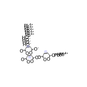 O=C([O-])/C=C\C(=O)[O-].O=C([O-])/C=C\C(=O)[O-].O=C([O-])/C=C\C(=O)[O-].[OH-].[OH-].[OH-].[OH-].[Pb+4].[Pb+4].[Pb+4].[Pb+4].[Pb+4].[Pb+4].[Pb+4].[Pb+4]